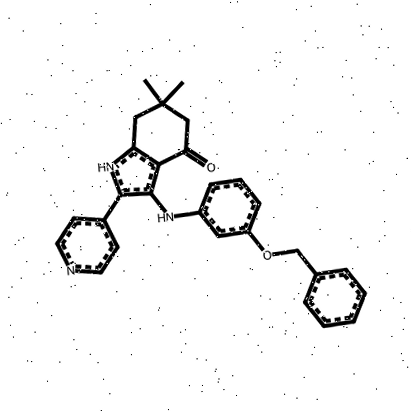 CC1(C)CC(=O)c2c([nH]c(-c3ccncc3)c2Nc2cccc(OCc3ccccc3)c2)C1